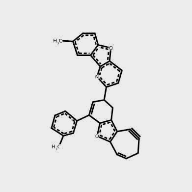 Cc1cccc(C2=CC(c3ccc4oc5ccc(C)cc5c4n3)Cc3c2oc2c3C#CCC=C2)c1